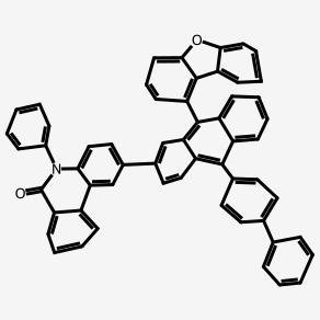 O=c1c2ccccc2c2cc(-c3ccc4c(-c5ccc(-c6ccccc6)cc5)c5ccccc5c(-c5cccc6oc7ccccc7c56)c4c3)ccc2n1-c1ccccc1